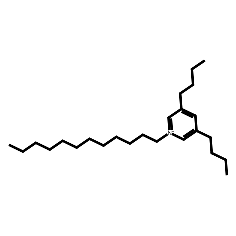 CCCCCCCCCCCC[n+]1cc(CCCC)cc(CCCC)c1